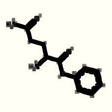 NC(=O)CCC(N)C(=O)Oc1ccccc1